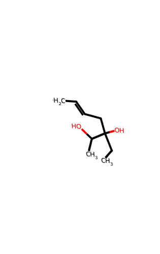 [CH2]C=CCC(O)(CC)C(C)O